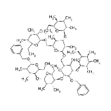 CCC1O[C@H](OCC2O[C@H](OCC3O[C@@H](O[C@@H]4C(CC)O[C@@H](O[C@@H]5C(CC)O[C@@H](OCc6ccccc6)C(C)[C@H]5C)C(C)[C@H]4C)C(OCc4ccccc4)[C@@H](O[C@H]4O[C@@H](CC)[C@@H](C)C(C)C4C)[C@@H]3O)C(C)[C@@H](O[C@H]3O[C@@H](CC)[C@@H](C)C(C)C3C)[C@@H]2C)C(C)[C@@H](C)[C@@H]1C